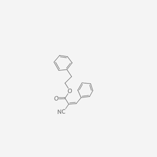 N#CC(=Cc1ccccc1)C(=O)OCCc1ccccc1